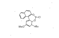 CCCCC1C=C(OC)C=C2c3c(ccc4ccccc34)OP(Cl)OC21